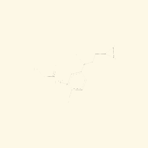 COC(=O)Nc1cc(C(=O)CCC2CC2)ccc1F